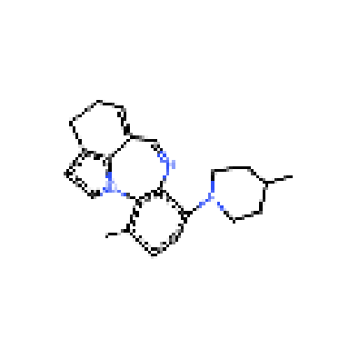 Cc1ccc(N2CCC(C)CC2)c2c1-n1ccc3c1C(=CCC3)C=N2